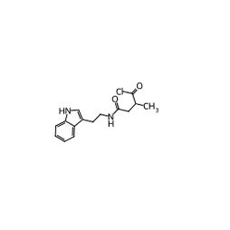 CC(CC(=O)NCCc1c[nH]c2ccccc12)C(=O)Cl